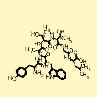 CC(C)C[C@H](NC(=O)CNC(=O)[C@@H](NC(=O)[C@@H](NC(=O)[C@H](C)NC(=O)[C@H](Cc1c[nH]c2ccccc12)NC(=O)[C@@H](N)Cc1ccc(O)cc1)[C@@H](C)O)[C@@H](C)O)C(=O)O